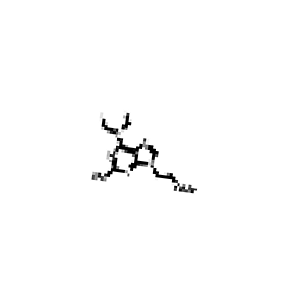 COCCn1cnc2c(N(CF)CF)nc(C(C)(C)C)nc21